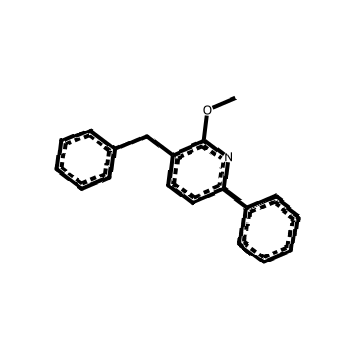 COc1nc(-c2ccccc2)ccc1Cc1ccccc1